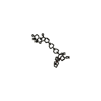 N#Cc1ccc(OC2CC3CCC(C2)N3c2ccc(C(=O)N3CCN(C4CCN(c5ccc6c(c5)C(=O)N(C5CCC(=O)NC5=N)C6=O)CC4)CC3)cc2)cc1Cl